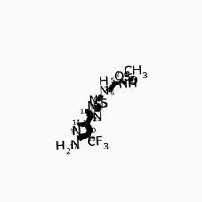 CS(=O)(=O)NCCNc1nn2cc(-c3cnc(N)c(C(F)(F)F)c3)nc2s1